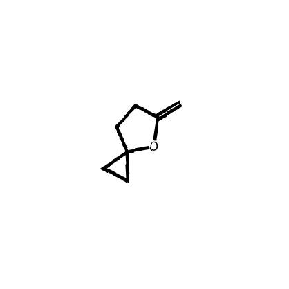 C=C1CCC2(CC2)O1